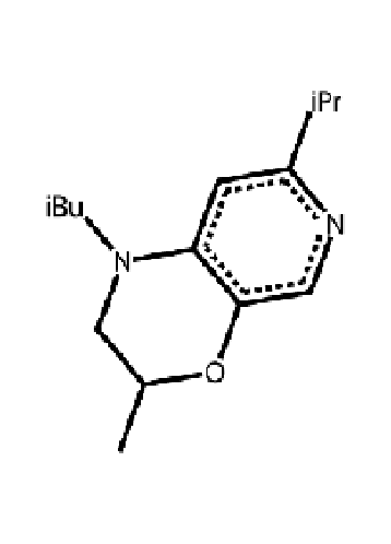 CCC(C)N1CC(C)Oc2cnc(C(C)C)cc21